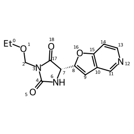 CCOCN1C(=O)N[C@@H](c2cc3cnccc3o2)C1=O